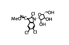 CON=C=C1c2cc(Cl)c(Cl)cc2N([C@@H]2O[C@H](CO)[C@@H](O)[C@H]2O)C1Cl